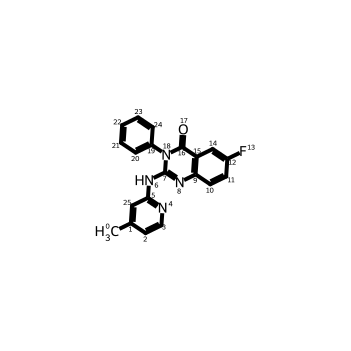 Cc1ccnc(Nc2nc3ccc(F)cc3c(=O)n2-c2ccccc2)c1